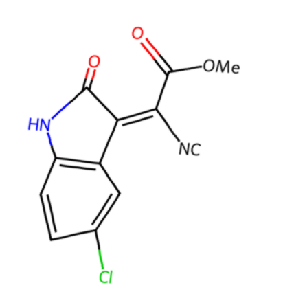 [C-]#[N+]/C(C(=O)OC)=C1/C(=O)Nc2ccc(Cl)cc21